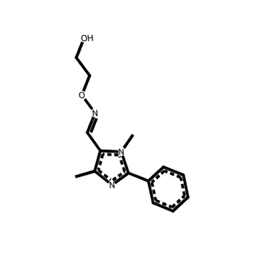 Cc1nc(-c2ccccc2)n(C)c1C=NOCCO